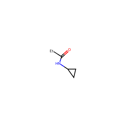 [CH2]CC(=O)NC1CC1